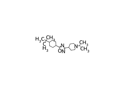 CC(C)N1CCC(c2noc(C3CCC(C(C)(C)C)CC3)n2)CC1